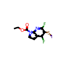 CCOC(=O)n1ccc2c(F)c(SI)c(F)nc21